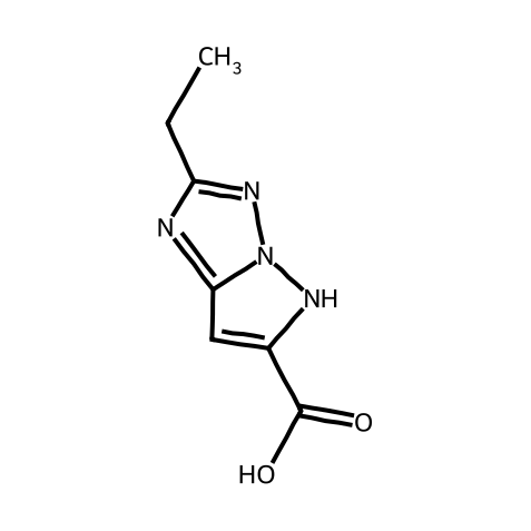 CCc1nc2cc(C(=O)O)[nH]n2n1